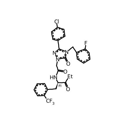 CCC(=O)[C@@H](Cc1ccccc1C(F)(F)F)NC(=O)Cn1nc(-c2ccc(Cl)cc2)n(Cc2ccccc2F)c1=O